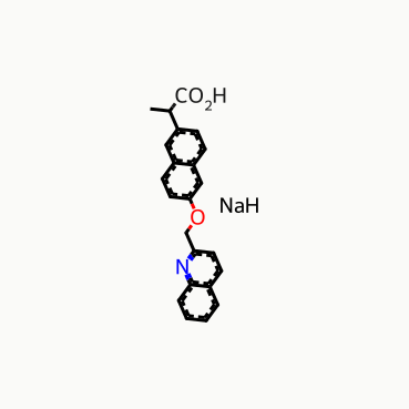 CC(C(=O)O)c1ccc2cc(OCc3ccc4ccccc4n3)ccc2c1.[NaH]